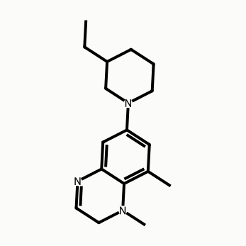 CCC1CCCN(c2cc(C)c3c(c2)N=CCN3C)C1